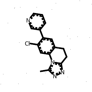 Cc1nnc2n1-c1cc(Cl)c(-c3cccnc3)cc1CC2